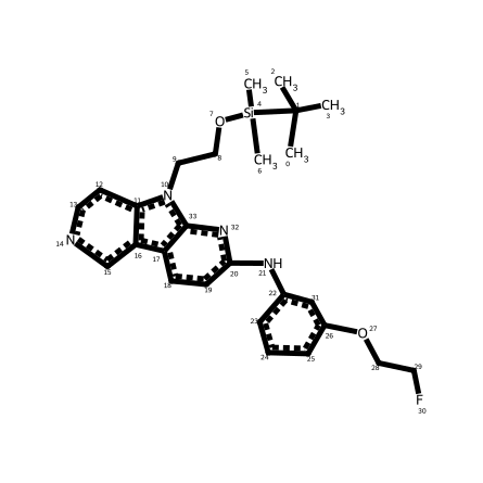 CC(C)(C)[Si](C)(C)OCCn1c2ccncc2c2ccc(Nc3cccc(OCCF)c3)nc21